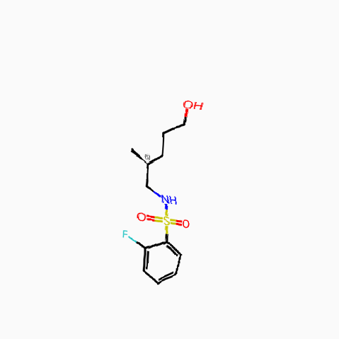 C[C@@H](CCCO)CNS(=O)(=O)c1ccccc1F